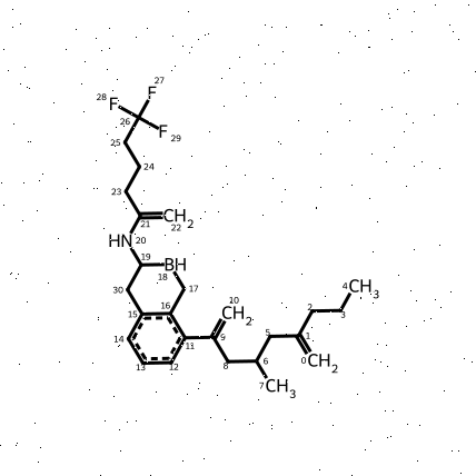 C=C(CCC)CC(C)CC(=C)c1cccc2c1CBC(NC(=C)CCCC(F)(F)F)C2